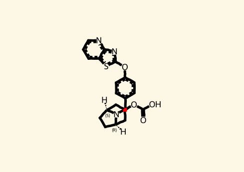 O=C(O)OC1C[C@H]2CC[C@@H](C1)N2Cc1ccc(Oc2nc3ncccc3s2)cc1